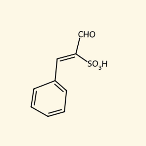 O=CC(=Cc1ccccc1)S(=O)(=O)O